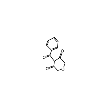 O=C1COCC(=O)C1C(=O)c1ccccc1